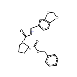 O=C(OCc1ccccc1)[C@@H]1CCCN1C(=O)/C=C/c1ccc2c(c1)OCO2